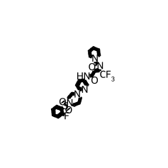 O=C(Nc1ccc(N2CCCN(S(=O)(=O)c3ccccc3F)CC2)nc1)c1oc(N2CCCCC2)nc1C(F)(F)F